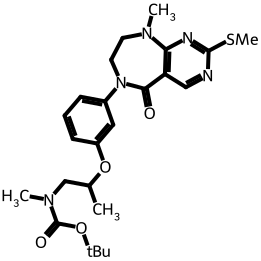 CSc1ncc2c(n1)N(C)CCN(c1cccc(OC(C)CN(C)C(=O)OC(C)(C)C)c1)C2=O